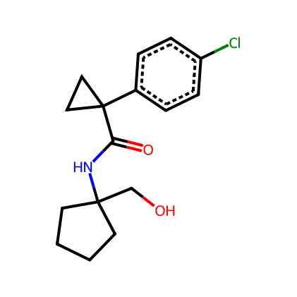 O=C(NC1(CO)CCCC1)C1(c2ccc(Cl)cc2)CC1